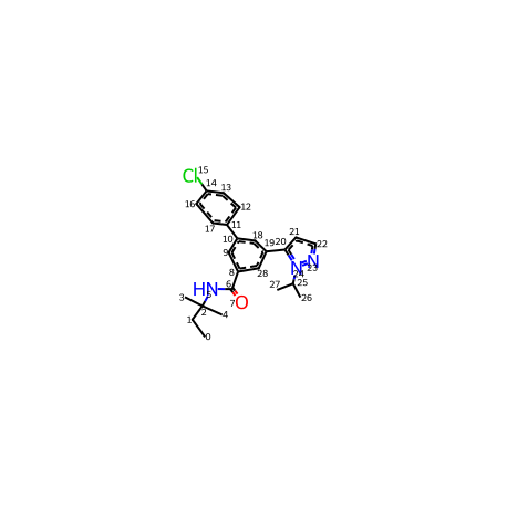 CCC(C)(C)NC(=O)c1cc(-c2ccc(Cl)cc2)cc(-c2ccnn2C(C)C)c1